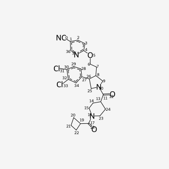 N#Cc1ccc(OCCC2CN(C(=O)C3CCN(C(=O)C4CCC4)CC3)CC2c2ccc(Cl)c(Cl)c2)nc1